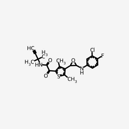 C#CC(C)(C)NC(=O)C(=O)c1sc(C)c(C2OC2Nc2ccc(F)c(Cl)c2)c1C